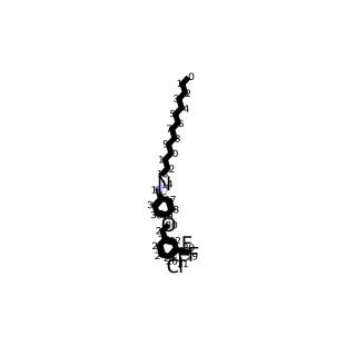 CCCCCCCCCCCCCC/N=C/c1ccc(OCc2ccc(Cl)c(C(F)(F)F)c2)cc1